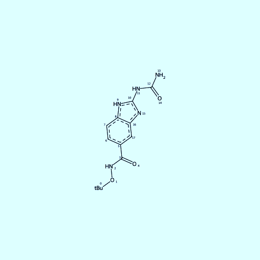 CC(C)(C)ONC(=O)c1ccc2[nH]c(NC(N)=O)nc2c1